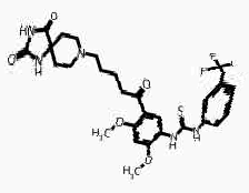 COc1cc(OC)c(C(=O)CCCCN2CCC3(CC2)NC(=O)NC3=O)cc1NC(=S)Nc1cccc(C(F)(F)F)c1